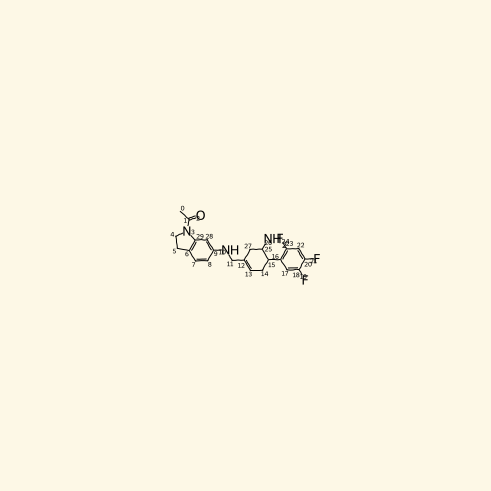 CC(=O)N1CCc2ccc(NCC3=CCC(c4cc(F)c(F)cc4F)C(N)C3)cc21